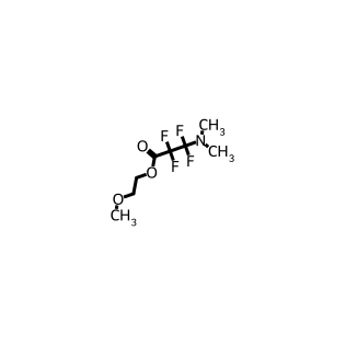 COCCOC(=O)C(F)(F)C(F)(F)N(C)C